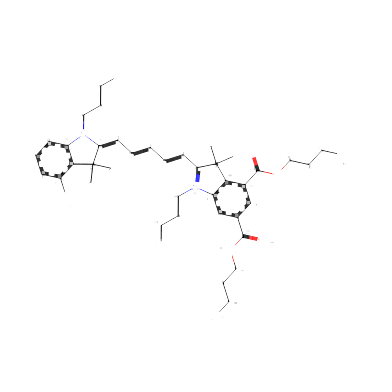 CC1(C)C(/C=C/C=C/C=C2/N(CCCS(=O)(=O)O)c3cccc(C(=O)O)c3C2(C)C)=[N+](CCCS(=O)(=O)O)c2cc(C(=O)OCCCS(=O)(=O)O)cc(C(=O)OCCCS(=O)(=O)O)c21